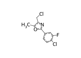 Cc1oc(-c2ccc(Cl)c(F)c2)nc1CCl